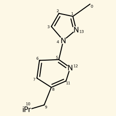 Cc1ccn(-c2ccc(CC(C)C)cn2)n1